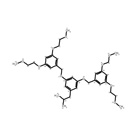 COCCOc1cc(COc2cc(CC(C)C)cc(OCc3cc(OCCOC)cc(OCOC)c3)c2)cc(OCCOC)c1